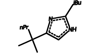 CCCC(C)(C)c1c[nH]c(C(C)CC)n1